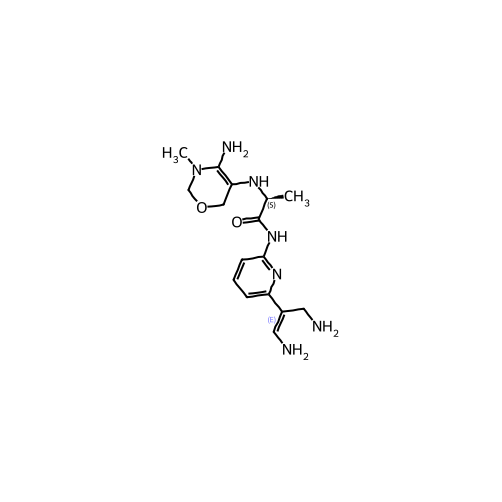 C[C@H](NC1=C(N)N(C)COC1)C(=O)Nc1cccc(/C(=C/N)CN)n1